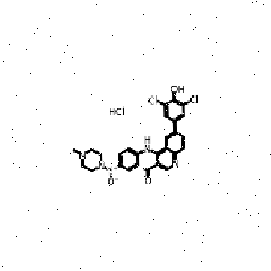 CC(=O)c1cnc2ccc(-c3cc(Cl)c(O)c(Cl)c3)cc2c1Nc1ccc([S+]([O-])N2CCN(C)CC2)cc1.Cl